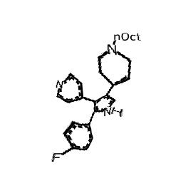 CCCCCCCCN1CC=C(c2c[nH]c(-c3ccc(F)cc3)c2-c2ccncc2)CC1